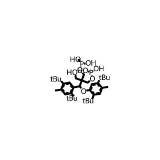 Cc1cc(C(C)(C)C)c(OC(c2cc(C(C)(C)C)c(C)cc2C(C)(C)C)C(CO)(COP(O)O)COP(O)O)cc1C(C)(C)C